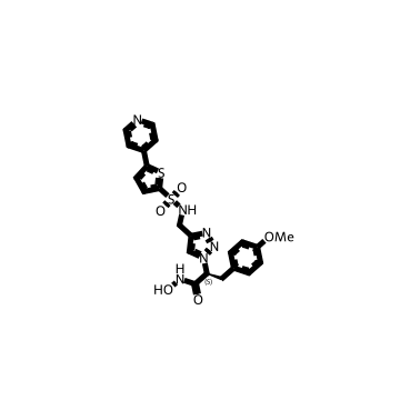 COc1ccc(C[C@@H](C(=O)NO)n2cc(CNS(=O)(=O)c3ccc(-c4ccncc4)s3)nn2)cc1